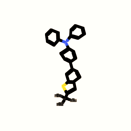 CCC[CH2][Sn]([CH2]CCC)([CH2]CCC)[c]1cc2ccc(-c3ccc(N(c4ccccc4)c4ccccc4)cc3)cc2s1